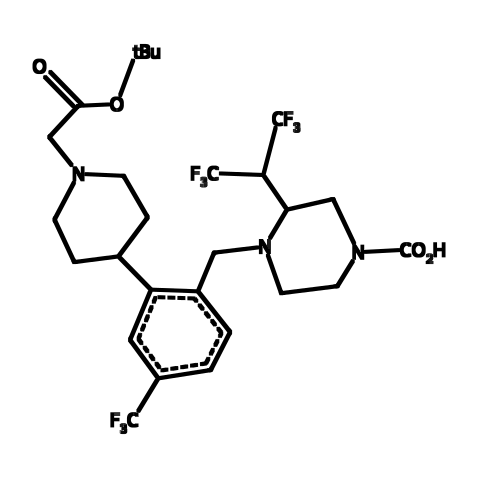 CC(C)(C)OC(=O)CN1CCC(c2cc(C(F)(F)F)ccc2CN2CCN(C(=O)O)CC2C(C(F)(F)F)C(F)(F)F)CC1